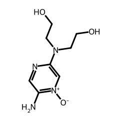 Nc1cnc(N(CCO)CCO)c[n+]1[O-]